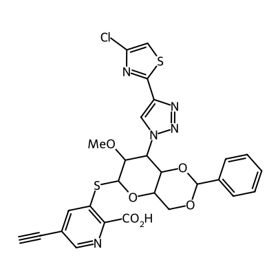 C#Cc1cnc(C(=O)O)c(SC2OC3COC(c4ccccc4)OC3C(n3cc(-c4nc(Cl)cs4)nn3)C2OC)c1